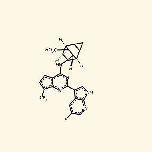 O=C(O)[C@@H]1[C@@H](Nc2nc(-c3c[nH]c4ncc(F)cc34)nn3c(C(F)(F)F)ccc23)[C@@H]2CC[C@H]1C1CC12